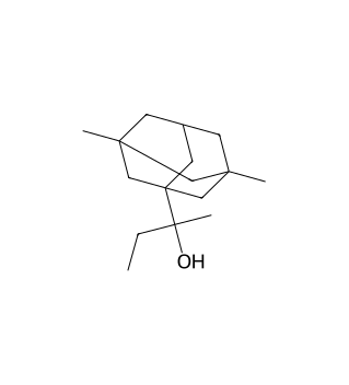 CCC(C)(O)C12CC3CC(C)(CC(C)(C3)C1)C2